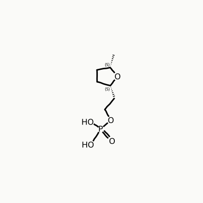 C[C@H]1CC[C@@H](CCOP(=O)(O)O)O1